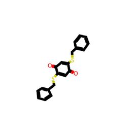 O=C1C=C(SCc2ccccc2)C(=O)C=C1SCc1ccccc1